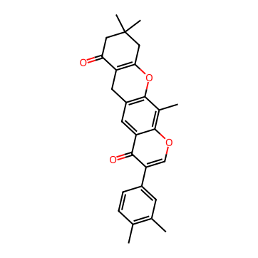 Cc1ccc(-c2coc3c(C)c4c(cc3c2=O)CC2=C(CC(C)(C)CC2=O)O4)cc1C